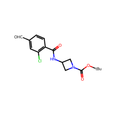 CC(C)(C)OC(=O)N1CC(NC(=O)c2ccc(C=O)cc2Cl)C1